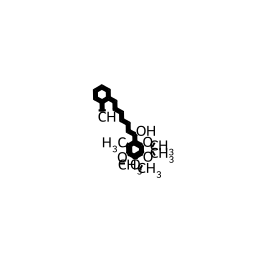 C#CC1CCCCC1CCCCCCC(O)c1c(C)c(OC)c(OC)c(OC)c1OC